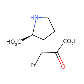 CC(C)CC(=O)C(=O)O.O=C(O)[C@@H]1CCCN1